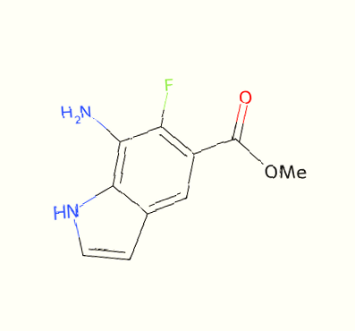 COC(=O)c1cc2cc[nH]c2c(N)c1F